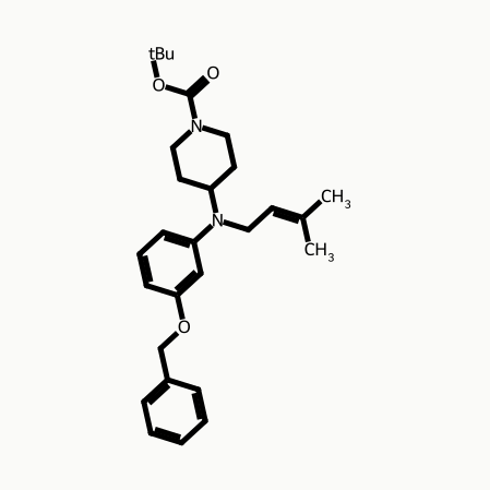 CC(C)=CCN(c1cccc(OCc2ccccc2)c1)C1CCN(C(=O)OC(C)(C)C)CC1